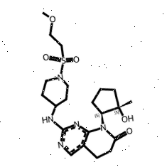 COCCS(=O)(=O)N1CCC(Nc2ncc3c(n2)N([C@H]2CCC[C@]2(C)O)C(=O)CC3)CC1